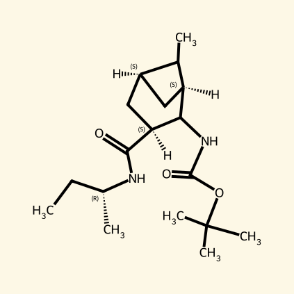 CC[C@@H](C)NC(=O)[C@H]1C[C@@H]2C[C@@H](C2C)C1NC(=O)OC(C)(C)C